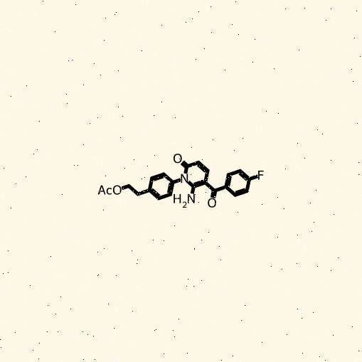 CC(=O)OCCc1ccc(-n2c(N)c(C(=O)c3ccc(F)cc3)ccc2=O)cc1